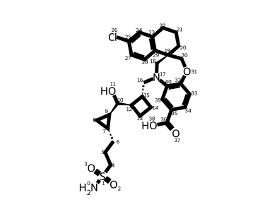 NS(=O)(=O)CCC[C@@H]1C[C@H]1C(O)[C@@H]1CC[C@H]1CN1C[C@@]2(CCCc3cc(Cl)ccc32)COc2ccc(C(=O)O)cc21